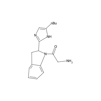 CCCCc1cnc(C2Cc3ccccc3N2C(=O)CN)[nH]1